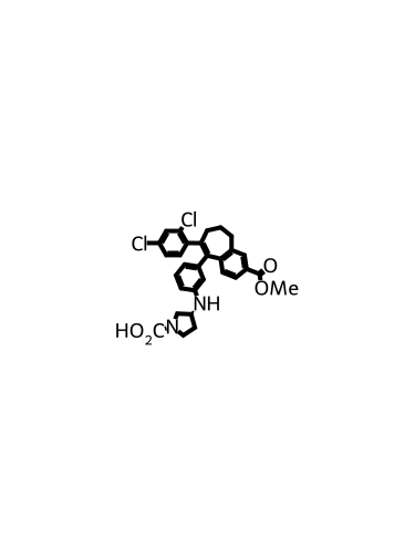 COC(=O)c1ccc2c(c1)CCCC(c1ccc(Cl)cc1Cl)=C2c1cccc(N[C@@H]2CCN(C(=O)O)C2)c1